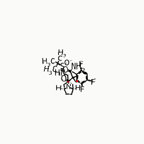 CC(C)(C)[S+]([O-])N[C@H](Cc1cc(F)c(F)cc1F)[C@@H]1C[C@H]2CC[C@@H](C1)N2C(=O)C1(C(N)=O)CC1